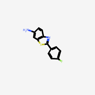 Nc1ccc2nc(-c3ccc(F)cc3)sc2c1